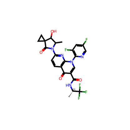 CC1C(O)C2(CC2)C(=O)N1c1ccc2c(=O)c(C(=O)N[C@@H](C)C(F)(F)F)cn(-c3ncc(F)cc3F)c2n1